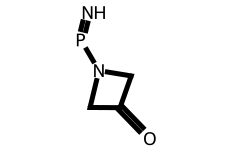 N=PN1CC(=O)C1